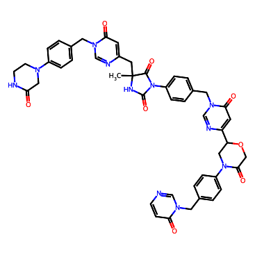 CC1(Cc2cc(=O)n(Cc3ccc(N4CCNC(=O)C4)cc3)cn2)NC(=O)N(c2ccc(Cn3cnc(C4CN(c5ccc(Cn6cnccc6=O)cc5)C(=O)CO4)cc3=O)cc2)C1=O